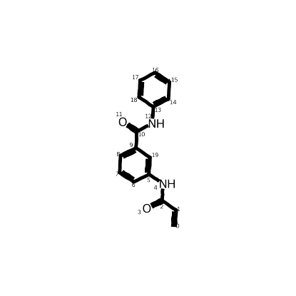 C=CC(=O)Nc1cccc(C(=O)Nc2c[c]ccc2)c1